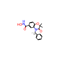 C[C@@H](c1ccccc1)N1C(=O)C(C)(C)Oc2ccc(C(=O)NO)cc21